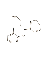 CNCC[C@@H](Oc1ccccc1C)C1=CCCC=C1